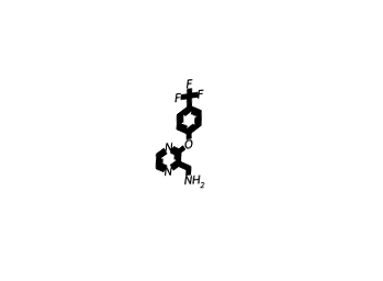 NCc1nccnc1Oc1ccc(C(F)(F)F)cc1